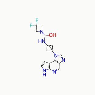 OC(NC12CC(n3cnc4cnc5[nH]ccc5c43)(C1)C2)N1CC(F)(F)C1